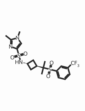 Cc1nc(S(=O)(=O)N[C@H]2C[C@H](C(C)(C)S(=O)(=O)c3cccc(C(F)(F)F)c3)C2)cn1C